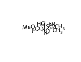 COc1ccc(CNc2nccc3c2sc2nnc(C)c(C)c23)cc1F.Cl